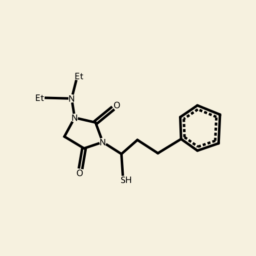 CCN(CC)N1CC(=O)N(C(S)CCc2ccccc2)C1=O